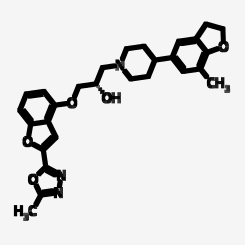 Cc1nnc(-c2cc3c(OC[C@@H](O)CN4CCC(c5cc(C)c6c(c5)CCO6)CC4)cccc3o2)o1